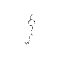 C=Cc1ccc(CCNCCN)cc1